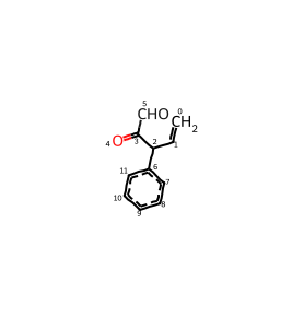 C=CC(C(=O)C=O)c1ccccc1